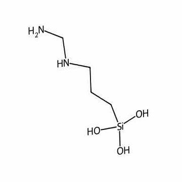 NCNCCC[Si](O)(O)O